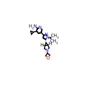 CC(C)n1nc(-c2cnc(N)c(C3CC3)c2)cc1[C@@H]1[C@@H]2CN(C3COC3)C[C@@H]21